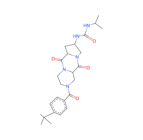 CC(C)NC(=O)NC1CC2C(=O)N3CCN(C(=O)c4ccc(C(C)(C)C)cc4)CC3C(=O)N2C1